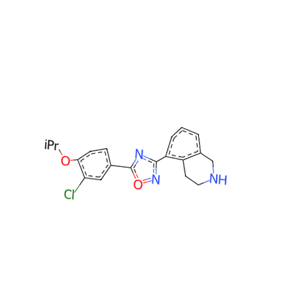 CC(C)Oc1ccc(-c2nc(-c3cccc4c3CCNC4)no2)cc1Cl